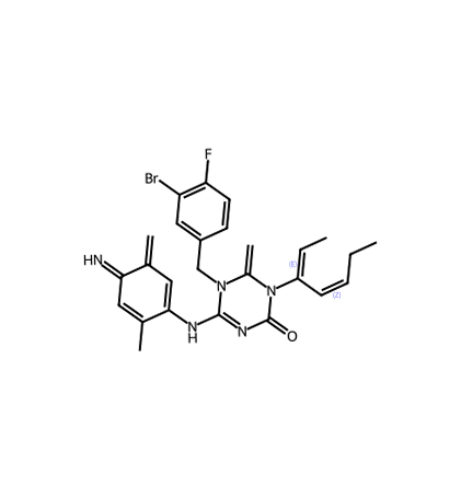 C=C1C=C(NC2=NC(=O)N(C(/C=C\CC)=C/C)C(=C)N2Cc2ccc(F)c(Br)c2)C(C)=CC1=N